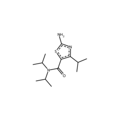 CC(C)c1nc(N)sc1C(=O)N(C(C)C)C(C)C